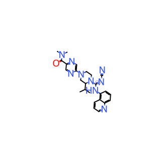 CC(C)C1CN(c2cnc(C(=O)N(C)C)cn2)CCN1/C(=N\C#N)Nc1cccc2ncccc12